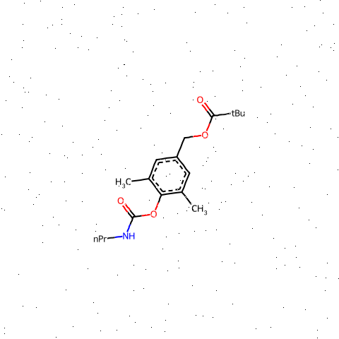 CCCNC(=O)Oc1c(C)cc(COC(=O)C(C)(C)C)cc1C